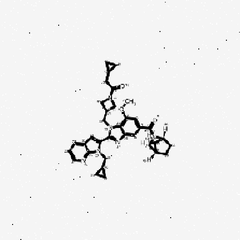 COc1cc(C(=O)N2C[C@H]3CC[C@@H]2[C@@H]3N)cc2nc(-c3cc4cccnc4n3CC3CC3)n(CC3CN(C(=O)CC4CC4)C3)c12